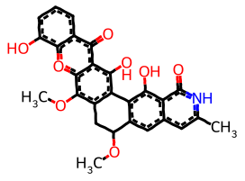 COc1c2c(c(O)c3c(=O)c4cccc(O)c4oc13)-c1c(cc3cc(C)[nH]c(=O)c3c1O)C(OC)C2